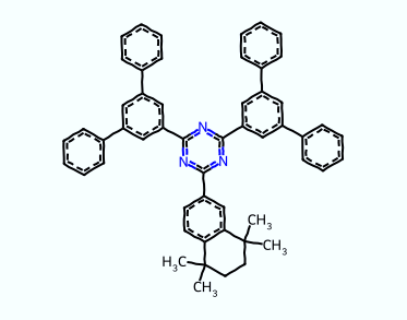 CC1(C)CCC(C)(C)c2cc(-c3nc(-c4cc(-c5ccccc5)cc(-c5ccccc5)c4)nc(-c4cc(-c5ccccc5)cc(-c5ccccc5)c4)n3)ccc21